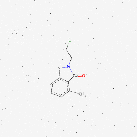 Cc1cccc2c1C(=O)N(CCCl)C2